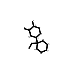 CCC1(C2CCC(C)C(C)C2)CCCCC1